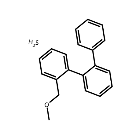 COCc1ccccc1-c1ccccc1-c1ccccc1.S